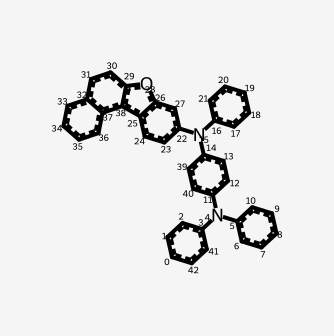 c1ccc(N(c2ccccc2)c2ccc(N(c3ccccc3)c3ccc4c(c3)oc3ccc5ccccc5c34)cc2)cc1